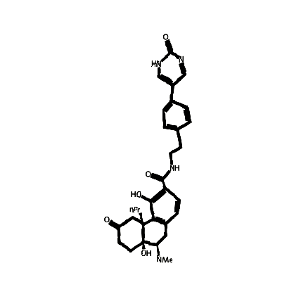 CCC[C@]12CC(=O)CC[C@@]1(O)[C@H](NC)Cc1ccc(C(=O)NCCc3ccc(-c4cnc(=O)[nH]c4)cc3)c(O)c12